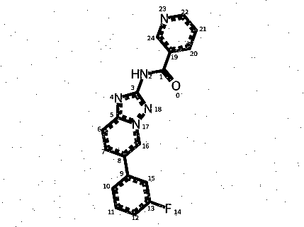 O=C(Nc1nc2ccc(-c3cccc(F)c3)cn2n1)c1cccnc1